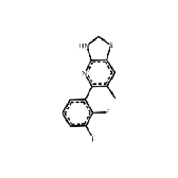 Cc1cc2c(nc1-c1cccc(F)c1F)NCS2